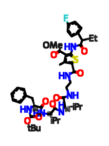 CCC(C(=O)Nc1sc(C(=O)NCCNC(=O)[C@@H](NC(=O)[C@@H](NC(=O)[C@H](Cc2ccccc2)NC(=O)OC(C)(C)C)C(C)C)C(C)C)c(C)c1C(=O)OC)c1ccc(F)cc1